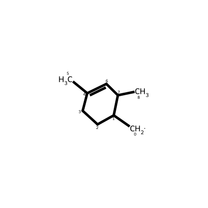 [CH2]C1CCC(C)=CC1C